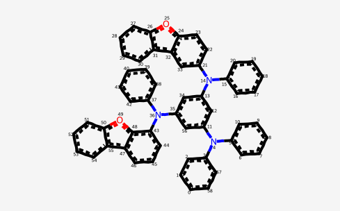 c1ccc(N(c2ccccc2)c2cc(N(c3ccccc3)c3ccc4oc5ccccc5c4c3)cc(N(c3ccccc3)c3cccc4c3oc3ccccc34)c2)cc1